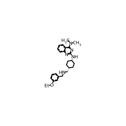 CCOc1cccc(CNC[C@H]2CC[C@@H](Nc3nc(N(C)C)c4ccccc4n3)CC2)c1